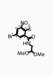 COC(CNC(=O)c1cc(Br)cc([N+](=O)[O-])c1F)OC